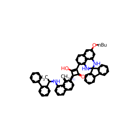 C=c1/c(=C2/C(=O)C(c3ccc4cc(OCCCC)cc5c4c3NC3(N5)c4ccccc4-c4ccccc43)=C2O)ccc2cccc(NC(C)c3ccccc3-c3ccccc3)c12